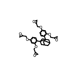 c1cc(C23CC4CC(C2)CC(c2ccc(OCC5CO5)cc2OCC2CO2)(C4)C3)c(OCC2CO2)cc1OCC1CO1